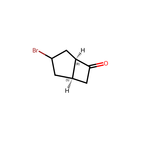 O=C1C[C@H]2CC(Br)C[C@@H]12